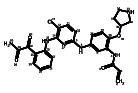 C=CC(=O)Nc1cc(Nc2ncc(Cl)c(Nc3ccccc3C(=O)C(N)=O)n2)ccc1OC1CCNC1